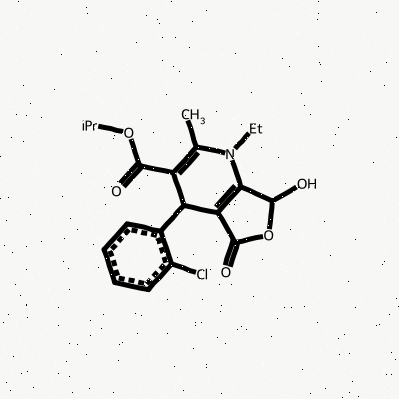 CCN1C(C)=C(C(=O)OC(C)C)C(c2ccccc2Cl)C2=C1C(O)OC2=O